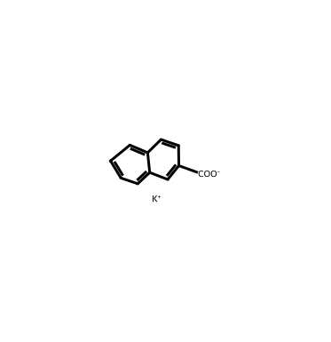 O=C([O-])c1ccc2ccccc2c1.[K+]